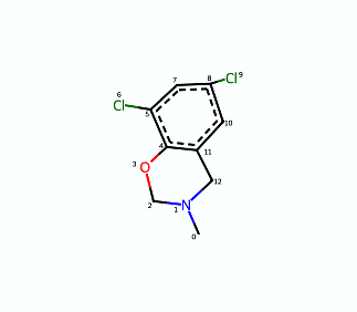 CN1COc2c(Cl)cc(Cl)cc2C1